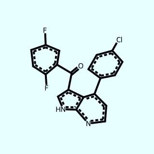 O=C(c1cc(F)ccc1F)c1c[nH]c2nccc(-c3ccc(Cl)cc3)c12